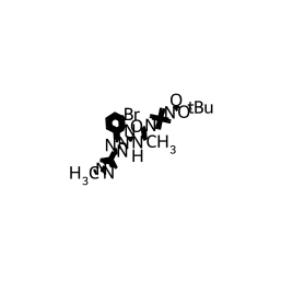 C[C@@H](Nc1nc2c(Br)cccc2c2nc(-c3cnn(C)c3)nn12)C(=O)N1CC2(CN(C(=O)OC(C)(C)C)C2)C1